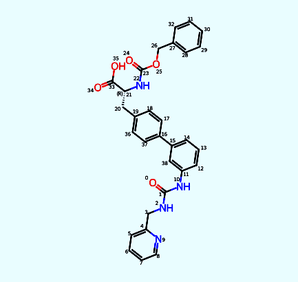 O=C(NCc1ccccn1)Nc1cccc(-c2ccc(C[C@@H](NC(=O)OCc3ccccc3)C(=O)O)cc2)c1